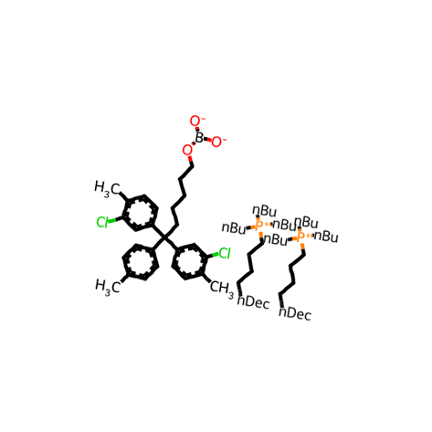 CCCCCCCCCCCCCC[P+](CCCC)(CCCC)CCCC.CCCCCCCCCCCCCC[P+](CCCC)(CCCC)CCCC.Cc1ccc(C(CCCCCOB([O-])[O-])(c2ccc(C)c(Cl)c2)c2ccc(C)c(Cl)c2)cc1